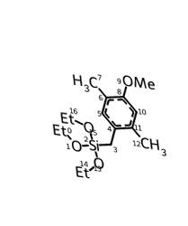 CCO[Si](Cc1cc(C)c(OC)cc1C)(OCC)OCC